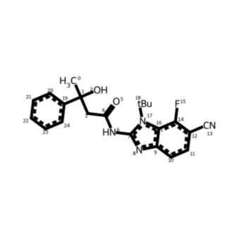 CC(O)(CC(=O)Nc1nc2ccc(C#N)c(F)c2n1C(C)(C)C)c1ccccc1